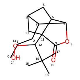 CCCC1C2CC3C1OC(=O)C3(C(OO)C(C)(C)C)C2